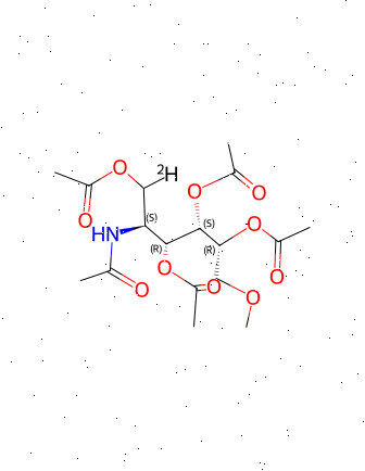 [2H]C(OC(C)=O)[C@H](NC(C)=O)[C@@H](OC(C)=O)[C@H](OC(C)=O)[C@@H](COC)OC(C)=O